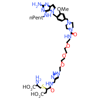 CCCCCNc1nc(N)nc2ccn(Cc3ccc(CN4CCN(C(=O)NCCOCCOCCOCCn5cc(CNC(=O)C(CC(=O)O)SCC(N)C(=O)O)nn5)CC4)cc3OC)c12